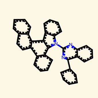 c1ccc(-c2nc(-n3c4ccccc4c4c5c6ccccc6ccc5c5ccccc5c43)nc3ccccc23)cc1